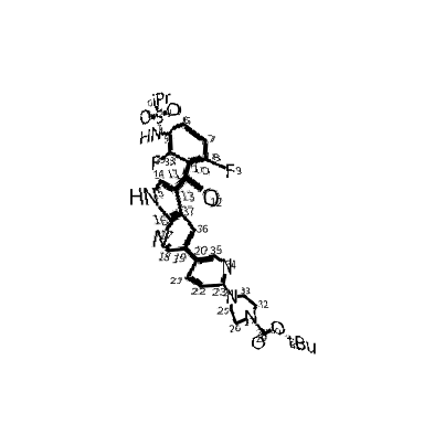 CC(C)S(=O)(=O)Nc1ccc(F)c(C(=O)c2c[nH]c3ncc(-c4ccc(N5CCN(C(=O)OC(C)(C)C)CC5)nc4)cc23)c1F